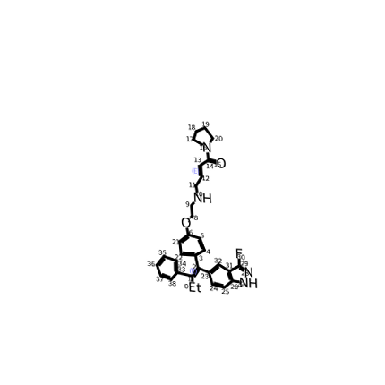 CC/C(=C(/c1ccc(OCCNC/C=C/C(=O)N2CCCC2)cc1)c1ccc2[nH]nc(F)c2c1)c1ccccc1